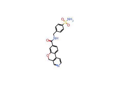 NS(=O)(=O)c1ccc(CNC(=O)c2ccc3c(c2)OCc2cnccc2-3)cc1